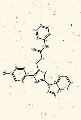 O=C(CCc1oc(-n2cnc3ccccc32)nc1-c1ccc(Cl)cc1)Nc1ccccc1